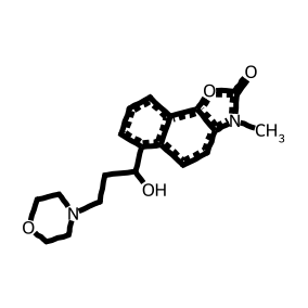 Cn1c(=O)oc2c3cccc(C(O)CCN4CCOCC4)c3ccc21